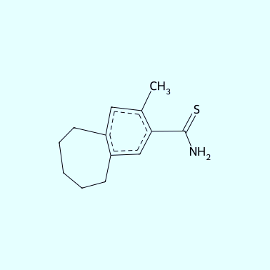 Cc1cc2c(cc1C(N)=S)CCCCC2